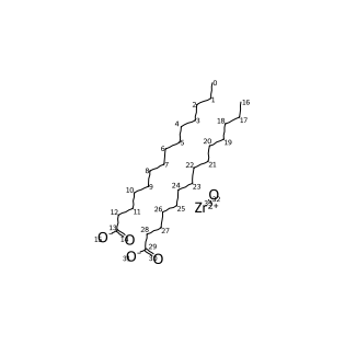 CCCCCCCCCCCCCC(=O)[O-].CCCCCCCCCCCCCC(=O)[O-].[O]=[Zr+2]